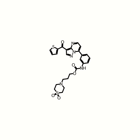 O=C(Nc1cccc(-c2ccnc3c(C(=O)c4cccs4)cnn23)c1)OCCCN1CCS(=O)(=O)CC1